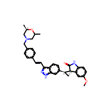 COc1ccc2c(c1)[C@]1(C[C@H]1c1ccc3c(/C=C/c4ccc(CN5CC(C)O[C@H](C)C5)cc4)n[nH]c3c1)C(=O)N2